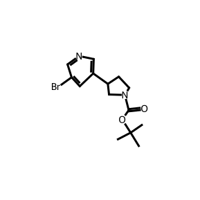 CC(C)(C)OC(=O)N1CCC(c2cncc(Br)c2)C1